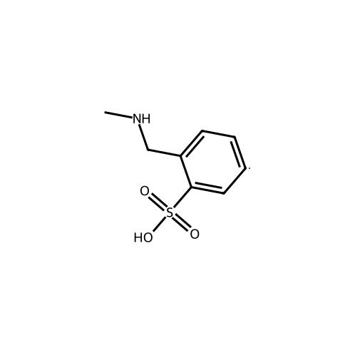 CNCc1cc[c]cc1S(=O)(=O)O